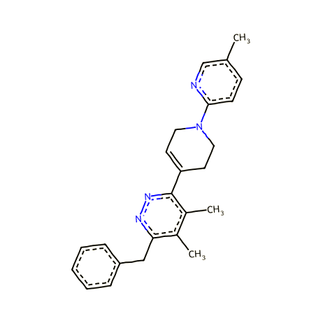 Cc1ccc(N2CC=C(c3nnc(Cc4ccccc4)c(C)c3C)CC2)nc1